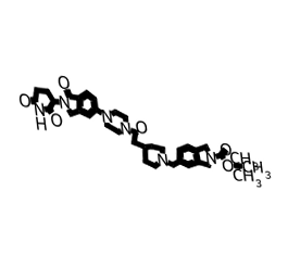 CC(C)(C)OC(=O)N1Cc2ccc(CN3CCC(CC(=O)N4CCN(c5ccc6c(c5)CN(C5CCC(=O)NC5=O)C6=O)CC4)CC3)cc2C1